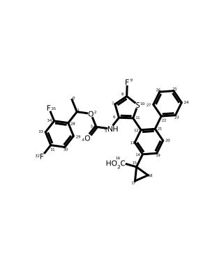 CC(OC(=O)Nc1cc(F)sc1-c1cc(C2(C(=O)O)CC2)ccc1-c1ccccc1)c1ccc(F)cc1F